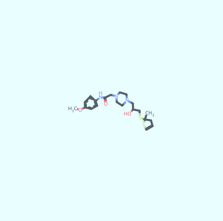 COc1ccc(NC(=O)CN2CCN(CC(O)CSC3(C)CC=CS3)CC2)cc1